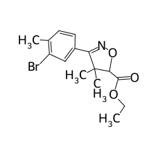 CCOC(=O)C1ON=C(c2ccc(C)c(Br)c2)C1(C)C